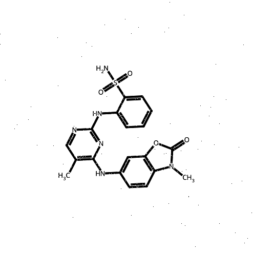 Cc1cnc(Nc2ccccc2S(N)(=O)=O)nc1Nc1ccc2c(c1)oc(=O)n2C